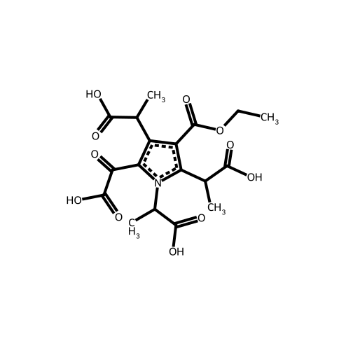 CCOC(=O)c1c(C(C)C(=O)O)c(C(=O)C(=O)O)n(C(C)C(=O)O)c1C(C)C(=O)O